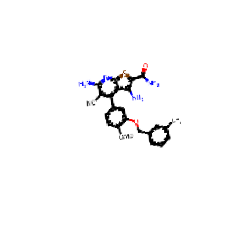 COc1ccc(-c2c(C#N)c(N)nc3sc(C(N)=O)c(N)c23)cc1OCc1cccc(C(F)(F)F)c1